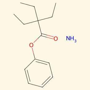 CCC(CC)(CC)C(=O)Oc1ccccc1.N